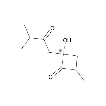 CC(C)C(=O)C[C@@]1(O)CC(C)C1=O